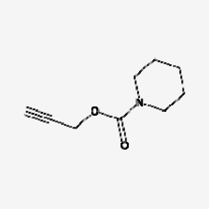 C#CCOC(=O)N1CCCCC1